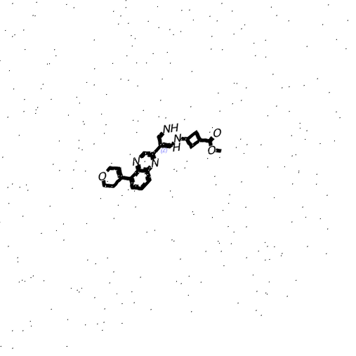 COC(=O)C1CC(N/C=C(\C=N)c2cnc3c(C4=CCOCC4)cccc3n2)C1